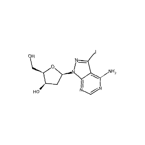 Nc1ncnc2c1c(I)nn2[C@H]1C[C@@H](O)[C@@H](CO)O1